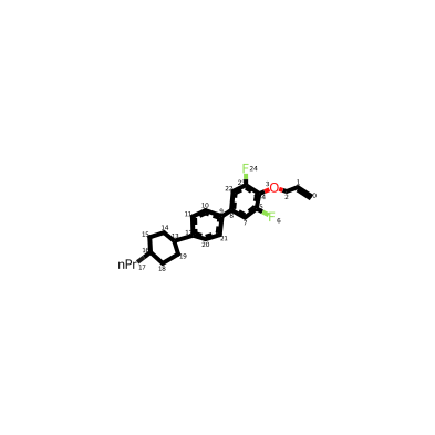 C=CCOc1c(F)cc(-c2ccc(C3CCC(CCC)CC3)cc2)cc1F